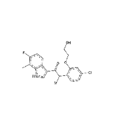 Cc1c(F)ccc2c(C(=O)C(Br)c3ccc(Cl)cc3OCCO)c[nH]c12